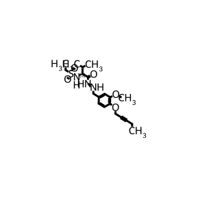 CCC#CCOc1ccc(CNNC(=O)[C@@H](NS(=O)(=O)CC)C(C)C)cc1OC